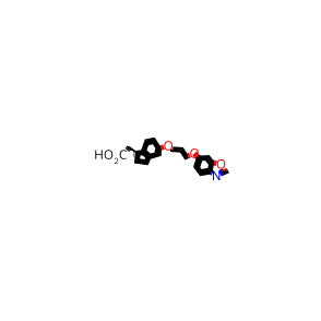 O=C(O)C[C@@H]1CCc2cc(OCCCOc3ccc4ncoc4c3)ccc21